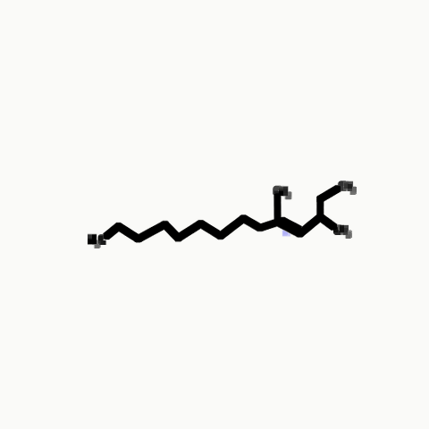 CCCCCCCCC/C(C)=C/C(C)CC